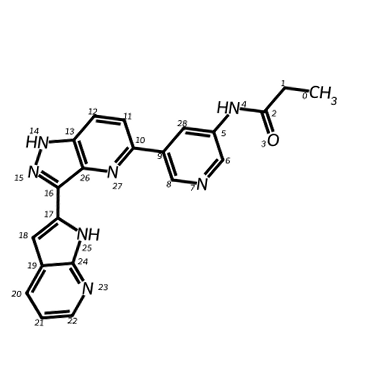 CCC(=O)Nc1cncc(-c2ccc3[nH]nc(-c4cc5cccnc5[nH]4)c3n2)c1